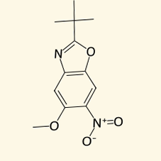 COc1cc2nc(C(C)(C)C)oc2cc1[N+](=O)[O-]